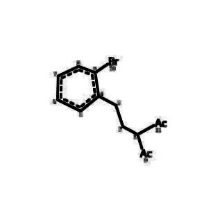 CC(=O)C(CCc1ccccc1Br)C(C)=O